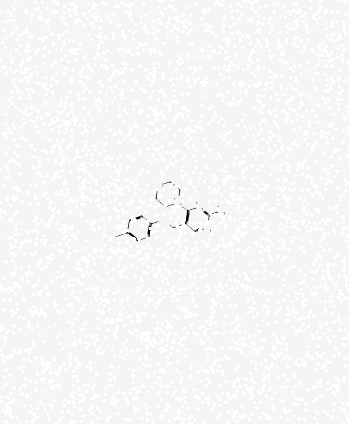 Nc1ncc(COc2ccc(Cl)cc2)c(N2CCOCC2)n1